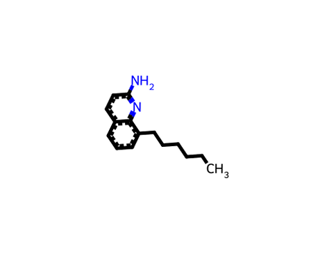 CCCCCCc1cccc2ccc(N)nc12